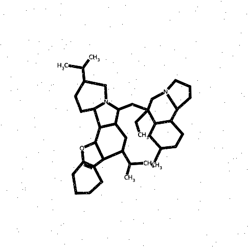 CCC1(CC2C3CC(C(C)C)C4C5=C(CCCC5)OC4C3C3CCC(C(C)C)CN23)CN2CCCC2C2CCC(C)CC21